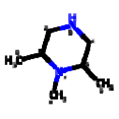 CC1CNCC(C)N1C